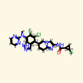 CN(c1ncccn1)c1c(F)c(Cl)c(-c2ccc3nc(NC(=O)C4CC4F)cn3c2)c2cn[nH]c12